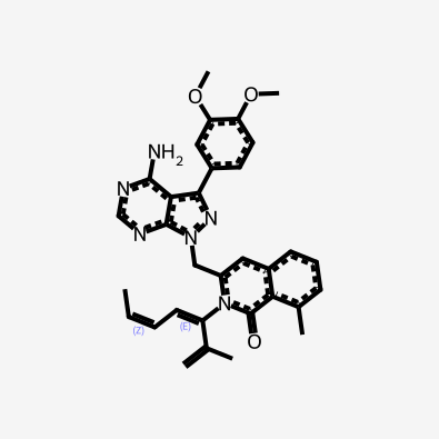 C=C(C)/C(=C\C=C/C)n1c(Cn2nc(-c3ccc(OC)c(OC)c3)c3c(N)ncnc32)cc2cccc(C)c2c1=O